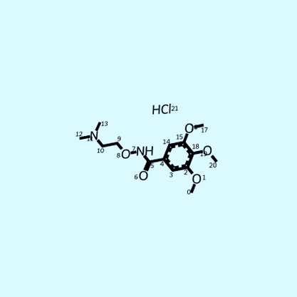 COc1cc(C(=O)NOCCN(C)C)cc(OC)c1OC.Cl